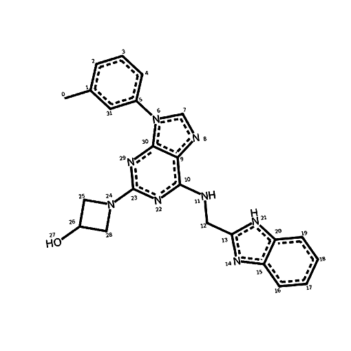 Cc1cccc(-n2cnc3c(NCc4nc5ccccc5[nH]4)nc(N4CC(O)C4)nc32)c1